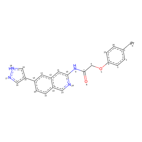 CC(C)c1ccc(OCC(=O)Nc2cc3cc(-c4cn[nH]c4)ccc3cn2)cc1